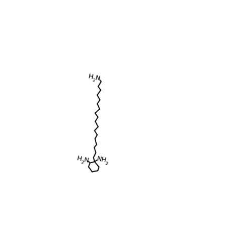 NCCCCCCCCCCCCCCCCCCC1(N)CCCCC1N